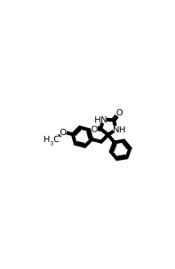 COc1ccc(CC2(c3ccccc3)NC(=O)NC2=O)cc1